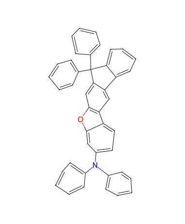 c1ccc(N(c2ccccc2)c2ccc3c(c2)oc2cc4c(cc23)-c2ccccc2C4(c2ccccc2)c2ccccc2)cc1